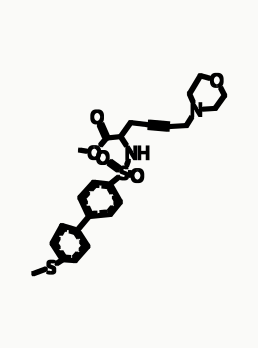 COC(=O)C(CC#CCN1CCOCC1)NS(=O)(=O)c1ccc(-c2ccc(SC)cc2)cc1